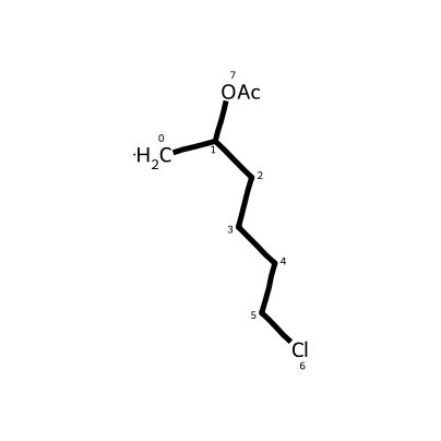 [CH2]C(CCCCCl)OC(C)=O